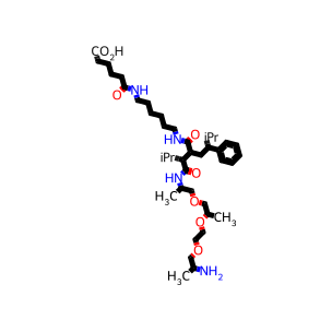 CC(N)COCCOC(C)COCC(C)NC(=O)C(C(C)C)C(CC(c1ccccc1)C(C)C)C(=O)NCCCCCCNC(=O)CCCCC(=O)O